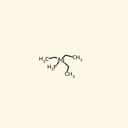 C[CH2][Ag]([PH2])([CH2]C)[CH2]C